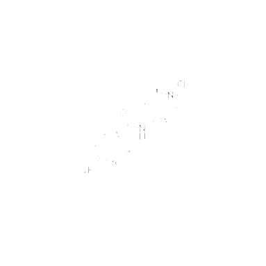 O=C(NC1CCN(Cl)CC1)c1ccc(F)cc1